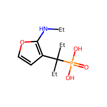 CCNc1occc1C(CC)(CC)P(=O)(O)O